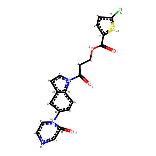 O=C(OCCC(=O)n1ccc2cc(-n3ccncc3=O)ccc21)c1ccc(Cl)s1